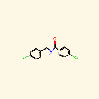 O=C(NCc1ccc(Cl)cc1)c1ccc(Cl)cc1